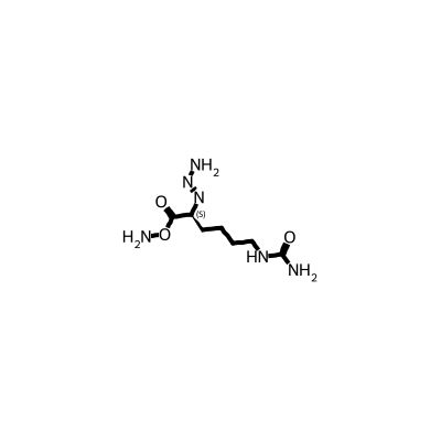 NN=N[C@@H](CCCCNC(N)=O)C(=O)ON